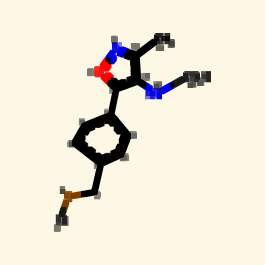 CCSCc1ccc(-c2onc(C)c2NC(=O)O)cc1